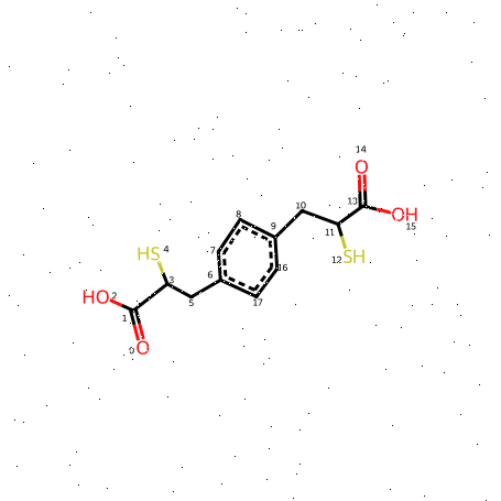 O=C(O)C(S)Cc1ccc(CC(S)C(=O)O)cc1